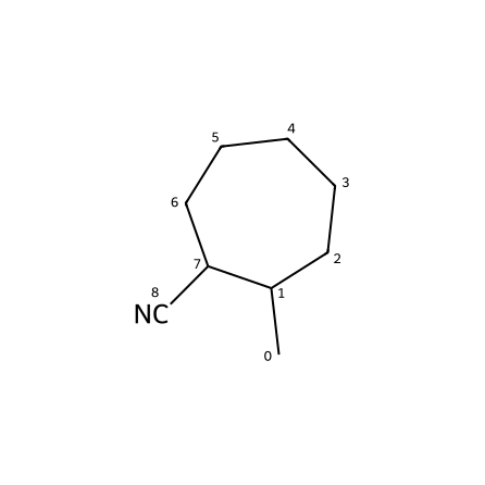 CC1CCCCCC1C#N